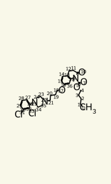 CCCCCOC(=O)N1C(=O)CCc2ccc(OCCCCN3CCN(c4cccc(Cl)c4Cl)CC3)cc21